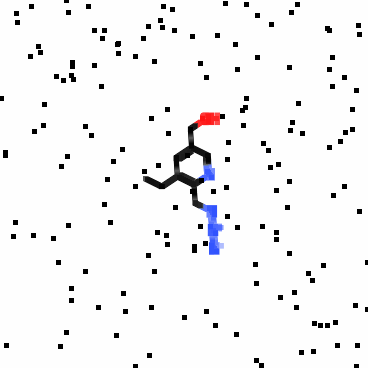 CCc1cc(CO)cnc1CN=[N+]=[N-]